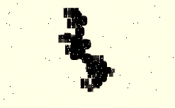 CCCCc1nc2c(NC(=O)OCc3ccc(NC(=O)CNC(=O)C(NC(=O)CON)C(C)C)cc3)nc3ccccc3c2n1CCOCCNC(=O)N1CCNCC1